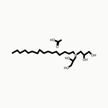 CC(=O)O.CCCCCCCCCCCCCCCCN(CC(O)CO)CC(O)CO